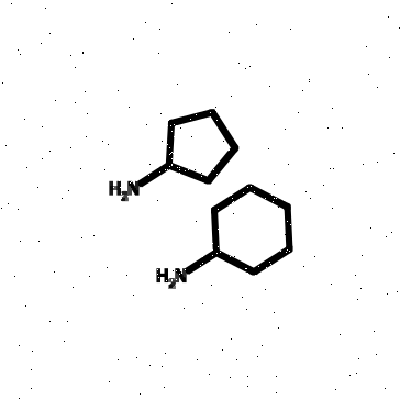 NC1CCCC1.NC1CCCCC1